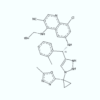 Cc1nnc(C2(N3C=C([C@@H](Nc4cc(Cl)c5ncc(C#N)c(NCC(C)(C)C)c5c4)c4ccccc4C)NN3)CC2)o1